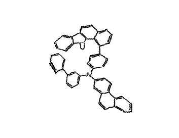 c1ccc(-c2cccc(N(c3ccc(-c4cccc5ccc6c7ccccc7oc6c45)cc3)c3ccc4c(ccc5ccccc54)c3)c2)cc1